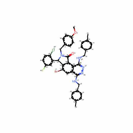 COc1ccc(CN2C(=O)c3c(c(Br)cc4c(NCc5ccc(C)cc5)nnc(NCc5ccc(C)cc5)c34)C2c2cc(F)ccc2Cl)cc1